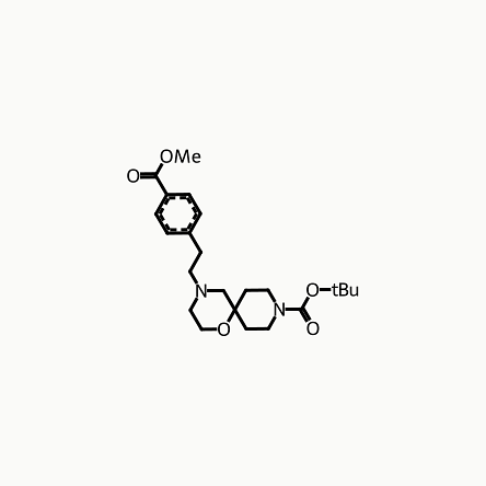 COC(=O)c1ccc(CCN2CCOC3(CCN(C(=O)OC(C)(C)C)CC3)C2)cc1